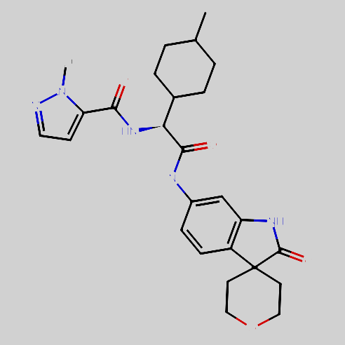 CCn1nccc1C(=O)N[C@H](C(=O)Nc1ccc2c(c1)NC(=O)C21CCOCC1)C1CCC(C)CC1